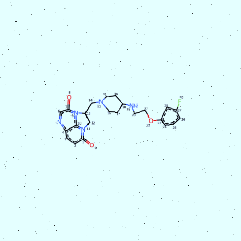 O=c1ccc2ncc(=O)n3c2n1CC3CN1CCC(NCCOc2cccc(F)c2)CC1